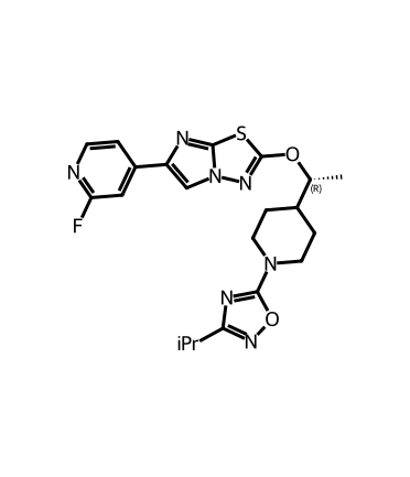 CC(C)c1noc(N2CCC([C@@H](C)Oc3nn4cc(-c5ccnc(F)c5)nc4s3)CC2)n1